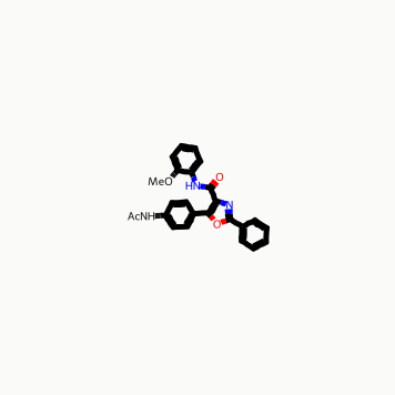 COc1ccccc1NC(=O)c1nc(-c2ccccc2)oc1-c1ccc(NC(C)=O)cc1